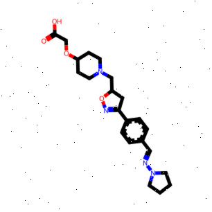 O=C(O)COC1CCN(CC2CC(c3ccc(C=NN4CCCC4)cc3)=NO2)CC1